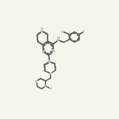 CCN1CCOCC1CN1CCN(c2nc3c(c(NCc4ccc(F)cc4Cl)n2)CNCC3)CC1